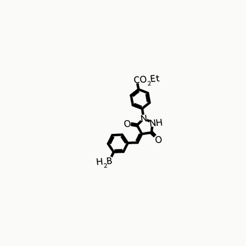 Bc1cccc(/C=C2/C(=O)NN(c3ccc(C(=O)OCC)cc3)C2=O)c1